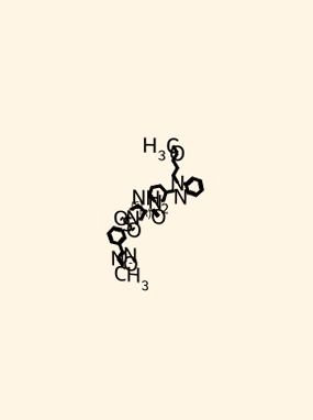 COCCCn1c(C2CCCN(C(=O)[C@@H]3CN(S(=O)(=O)c4cccc(-c5noc(C)n5)c4)C[C@H]3N)C2)nc2ccccc21